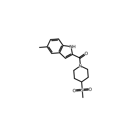 Cc1ccc2[nH]c(C(=O)N3CCC(S(C)(=O)=O)CC3)cc2c1